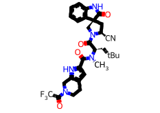 CN(C(=O)c1cc2c([nH]1)CN(C(=O)C(F)(F)F)CC2)[C@@H](CC(C)(C)C)C(=O)N1C[C@]2(C[C@H]1C#N)C(=O)Nc1ccccc12